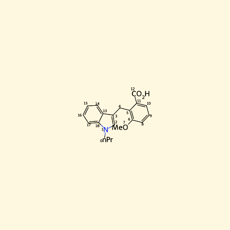 CCCn1cc(Cc2c(OC)cccc2C(=O)O)c2ccccc21